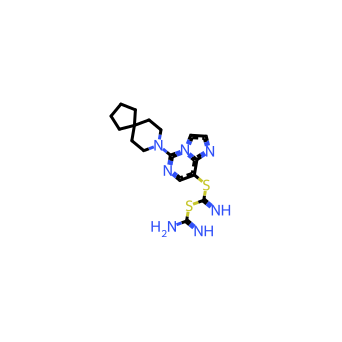 N=C(N)SC(=N)Sc1cnc(N2CCC3(CCCC3)CC2)n2ccnc12